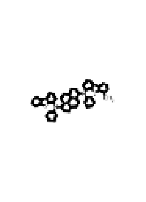 Cc1cccc2c1sc1c(N(c3ccccc3)c3ccc4ccc5c(N(c6ccccc6)c6cccc7c6sc6ccccc67)ccc6ccc3c4c65)cccc12